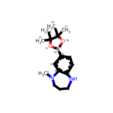 CN1CCCNc2ccc(B3OC(C)(C)C(C)(C)O3)cc21